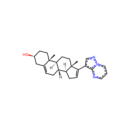 C[C@]12CC[C@H](O)CC1=CC[C@@H]1[C@@H]2CC[C@]2(C)C(c3cnn4cccnc34)=CC[C@@H]12